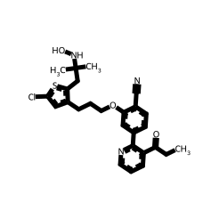 CCC(=O)c1cccnc1-c1ccc(C#N)c(OCCCc2cc(Cl)sc2CC(C)(C)NO)c1